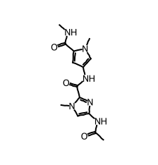 CNC(=O)c1cc(NC(=O)c2nc(NC(C)=O)cn2C)cn1C